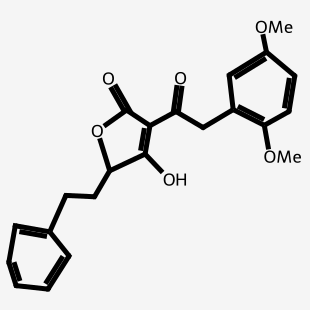 COc1ccc(OC)c(CC(=O)C2=C(O)C(CCc3ccccc3)OC2=O)c1